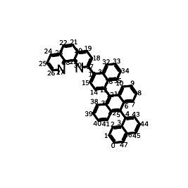 c1ccc2c(-c3c4ccccc4c(-c4ccc(-c5ccc6ccc7cccnc7c6n5)c5ccccc45)c4ccccc34)cccc2c1